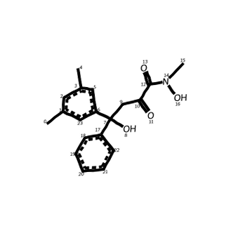 Cc1cc(C)cc(C(O)(CC(=O)C(=O)N(C)O)c2ccccc2)c1